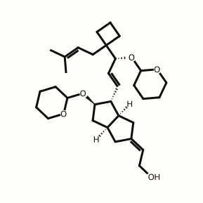 CC(C)=CCC1([C@@H](/C=C/[C@@H]2[C@H]3CC(=CCO)C[C@H]3C[C@H]2OC2CCCCO2)OC2CCCCO2)CCC1